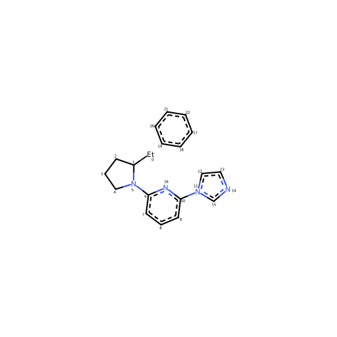 CCC1CCCN1c1cccc(-n2ccnc2)n1.c1ccccc1